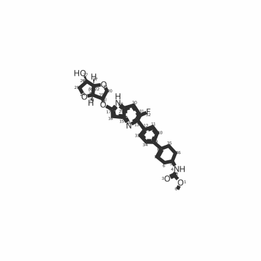 COC(=O)NC1CC=C(c2ccc(-c3nc4cc(O[C@@H]5CO[C@H]6[C@@H]5OC[C@H]6O)[nH]c4cc3F)cc2)CC1